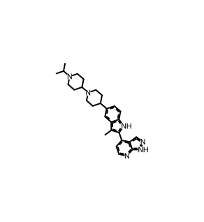 Cc1c(-c2ccnc3[nH]ncc23)[nH]c2ccc(C3CCN(C4CCN(C(C)C)CC4)CC3)cc12